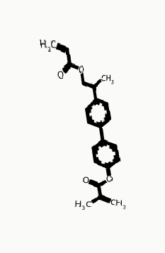 C=CC(=O)OCC(C)c1ccc(-c2ccc(OC(=O)C(=C)C)cc2)cc1